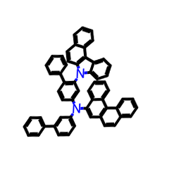 c1ccc(-c2cccc(N(c3ccc(-c4ccccc4)c(-n4c5ccccc5c5c6ccccc6ccc54)c3)c3cc4ccc5ccccc5c4c4ccccc34)c2)cc1